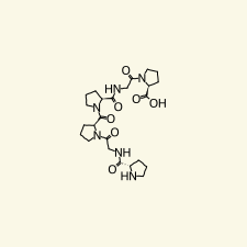 O=C(NCC(=O)N1CCC[C@H]1C(=O)N1CCC[C@H]1C(=O)NCC(=O)N1CCC[C@H]1C(=O)O)[C@@H]1CCCN1